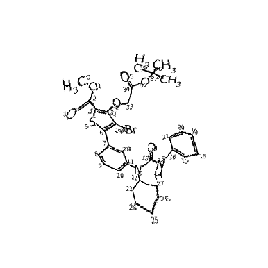 COC(=O)c1sc(-c2cccc(N(C(=O)Nc3ccccc3)C3CCCCC3)c2)c(Br)c1OCC(=O)OC(C)(C)C